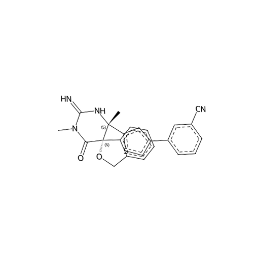 CN1C(=N)N[C@](C)(c2cc(-c3cccc(C#N)c3)cs2)[C@]2(OCc3ccccc32)C1=O